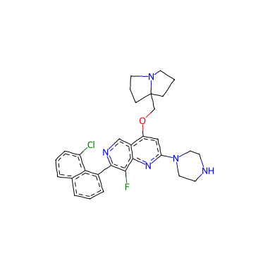 Fc1c(-c2cccc3cccc(Cl)c23)ncc2c(OCC34CCCN3CCC4)cc(N3CCNCC3)nc12